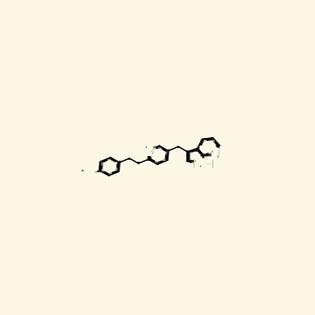 COc1ccc(CCc2ccc(Cc3c[nH]c4ncccc34)cn2)cc1